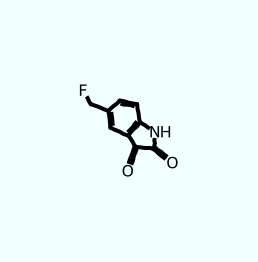 O=C1Nc2ccc(CF)cc2C1=O